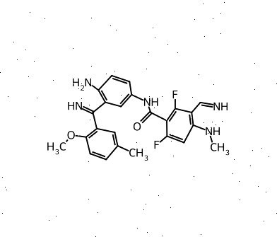 CNc1cc(F)c(C(=O)Nc2ccc(N)c(C(=N)c3cc(C)ccc3OC)c2)c(F)c1C=N